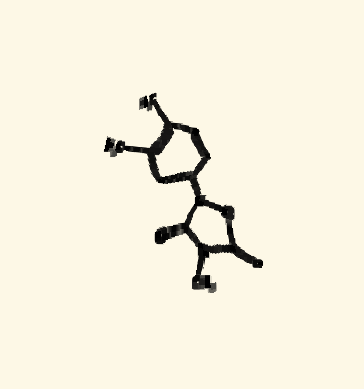 Cc1ccc(-n2oc(=O)n(C)c2=O)cc1C